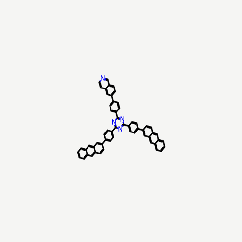 c1ccc2cc3cc(-c4ccc(-c5nc(-c6ccc(-c7ccc8cnccc8c7)cc6)nc(-c6ccc(-c7ccc8cc9ccccc9cc8c7)cc6)n5)cc4)ccc3cc2c1